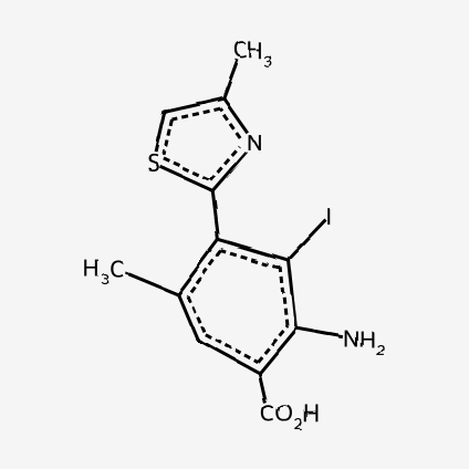 Cc1csc(-c2c(C)cc(C(=O)O)c(N)c2I)n1